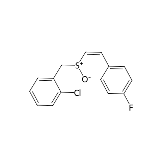 [O-][S+](/C=C\c1ccc(F)cc1)Cc1ccccc1Cl